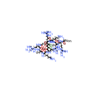 CCCCCCCCCC(=O)N[C@@H](CCCNC(=N)N)C(=O)N[C@H](C(=O)N[C@@H](CCCCN)C(=O)N[C@@H](CCCNC(=N)N)C(=O)C(Cl)C(=O)C(Cl)C(=O)[C@H](CCCNC(=N)N)NC(=O)[C@H](CCCCN)NC(=O)[C@@H](NC(=O)[C@H](CCCNC(=N)N)NC(=O)CCCCCCCCC)C(C)C)C(C)C